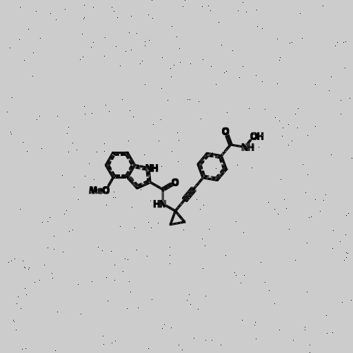 COc1cccc2[nH]c(C(=O)NC3(C#Cc4ccc(C(=O)NO)cc4)CC3)cc12